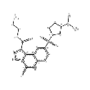 CCCOC(=O)c1c[nH]c2c(=O)[nH]c3ccc(S(=O)(=O)N4CCC(N(C)Cl)C4)cc3c12